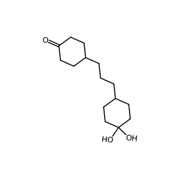 O=C1CCC(CCCC2CCC(O)(O)CC2)CC1